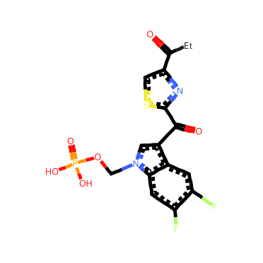 CCC(=O)c1csc(C(=O)c2cn(COP(=O)(O)O)c3cc(F)c(F)cc23)n1